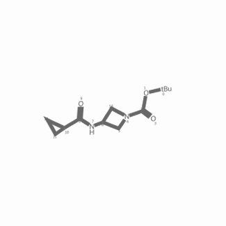 CC(C)(C)OC(=O)N1CC(NC(=O)C2CC2)C1